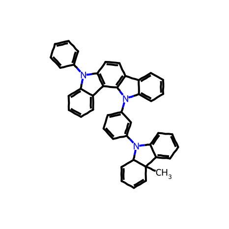 CC12C=CC=CC1N(c1cccc(-n3c4ccccc4c4ccc5c(c6ccccc6n5-c5ccccc5)c43)c1)c1ccccc12